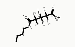 CCCCOC(=O)C(F)(F)C(F)(F)C(F)(F)C(=O)O